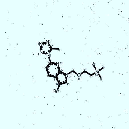 Cc1nnnn1-c1ccc2c(Br)cn(COCC[Si](C)(C)C)c2n1